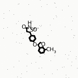 Cc1cccc2c1OC[C@H]2Oc1ccc(C2CC(=O)N[S+]2[O-])cc1